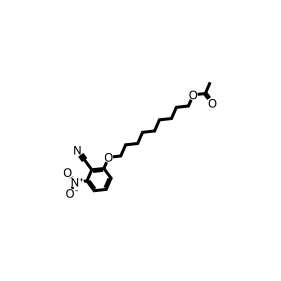 CC(=O)OCCCCCCCCCOc1cccc([N+](=O)[O-])c1C#N